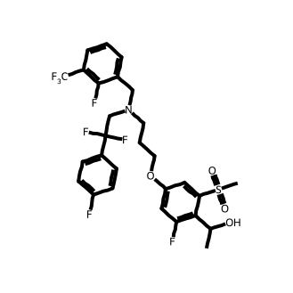 CC(O)c1c(F)cc(OCCCN(Cc2cccc(C(F)(F)F)c2F)CC(F)(F)c2ccc(F)cc2)cc1S(C)(=O)=O